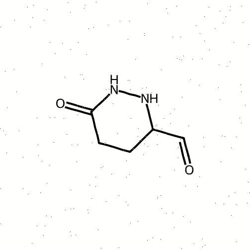 O=CC1CCC(=O)NN1